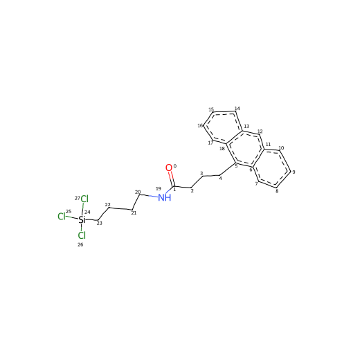 O=C(CCCc1c2ccccc2cc2ccccc12)NCCCC[Si](Cl)(Cl)Cl